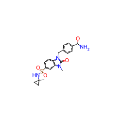 Cn1c(=O)n(Cc2ccc(C(N)=O)cc2)c2ccc(S(=O)(=O)NC3(C)CC3)cc21